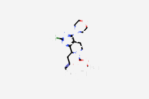 CCOC(=O)/C=C/CC1c2nc(Cl)nc(N3CCOCC3)c2CCN1C(=O)OC(C)(C)C